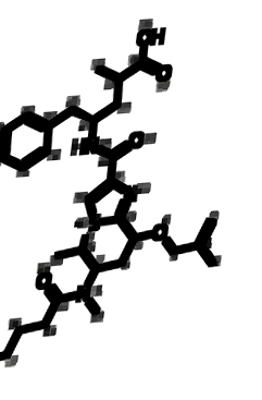 C=C(C)COC(CC(C(C)C)N(C)C(=O)CCCC)c1nc(C(=O)N[C@@H](Cc2ccccc2)CC(C)C(=O)O)cs1